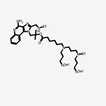 CCCCCCCCCCCCCN(CC)CCCN(CCCCCCCCCCCCC)CCCCCC(=O)OC(C)(C)Cn1c(CNCC)nc2c(N)nc3ccccc3c21